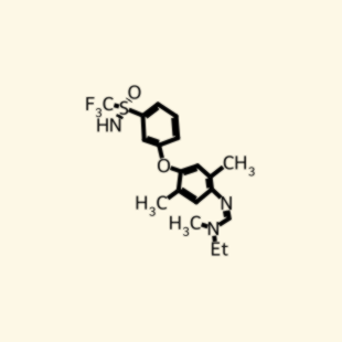 CCN(C)/C=N\c1cc(C)c(Oc2cccc(S(=N)(=O)C(F)(F)F)c2)cc1C